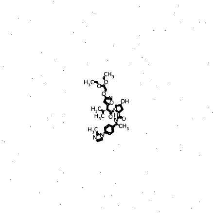 CCOC(COc1cc([C@H](C(=O)N2C[C@H](O)C[C@H]2C(=O)N[C@@H](C)c2ccc(-n3ccnc3C)cc2)C(C)C)on1)OCC